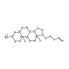 C=CCCCC1CCC2C3CCC4CC(CC)CCC4(C)C3CCC12C